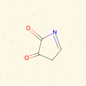 O=C1CC=NC1=O